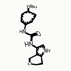 CCCCc1ccc(NC(=O)Nc2c[nH]c3c2COCC3)cc1